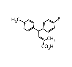 CC(=CC(c1ccc(C)cc1)c1ccc(F)cc1)C(=O)O